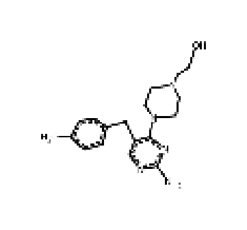 Cc1ccc(Cc2cnc(N)nc2N2CCN(CCO)CC2)cc1